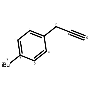 [C]#CCc1ccc(C(C)CC)cc1